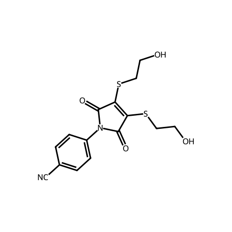 N#Cc1ccc(N2C(=O)C(SCCO)=C(SCCO)C2=O)cc1